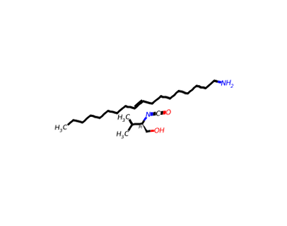 CC(C)[C@H](CO)N=C=O.CCCCCCCCC=CCCCCCCCCN